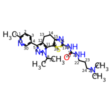 Cc1ccc(-c2nn(C(C)C)c3c2CCc2nc(NC(=O)NCCCN(C)C)sc2-3)cn1